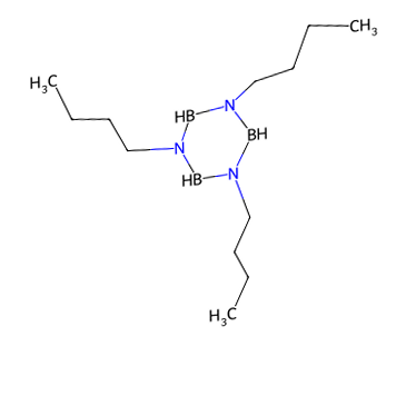 CCCCN1BN(CCCC)BN(CCCC)B1